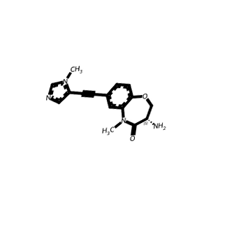 CN1C(=O)[C@@H](N)COc2ccc(C#Cc3cncn3C)cc21